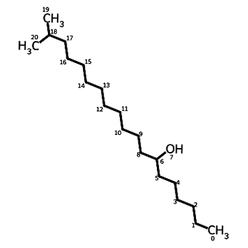 CCCCCCC(O)CCCCCCCCCCC(C)C